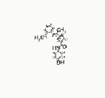 C=Cc1ccccc1/C=C(\C)c1ccc(C(=O)Nc2ccc(O)cc2)s1